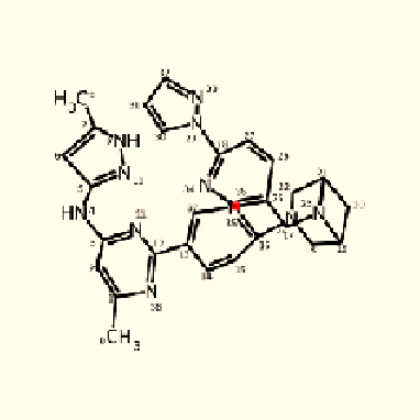 Cc1cc(Nc2cc(C)[nH]n2)nc(-c2ccc(N3CC4CC(C3)N4Cc3ccc(-n4cccn4)nc3)nc2)n1